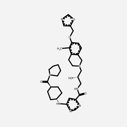 Cc1c(OCc2cnco2)ccc2c1CCN(C[C@@H](O)CNC(=O)c1cc(N[C@H]3CC[C@H](C(=O)N4CCCCC4)CC3)ncn1)C2